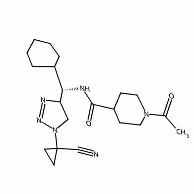 CC(=O)N1CCC(C(=O)N[C@@H](C2CCCCC2)C2CN(C3(C#N)CC3)N=N2)CC1